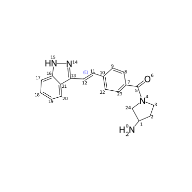 NC1CCN(C(=O)c2ccc(/C=C/c3n[nH]c4ccccc34)cc2)C1